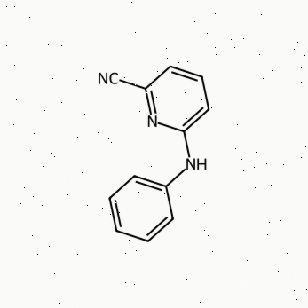 N#Cc1cccc(Nc2ccccc2)n1